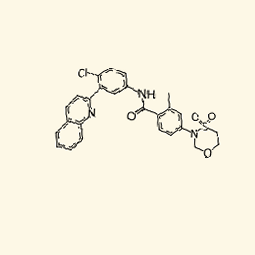 Cc1cc(N2COCCS2(=O)=O)ccc1C(=O)Nc1ccc(Cl)c(-c2ccc3ccccc3n2)c1